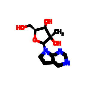 C[C@@]1(O)[C@H](O)[C@@H](CO)O[C@H]1n1ccc2cncnc21